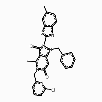 Cc1ccc2nc(-n3c(=O)c4c(C)n(Cc5cccc(Cl)n5)c(=O)cc4n3Cc3ccccc3)sc2c1